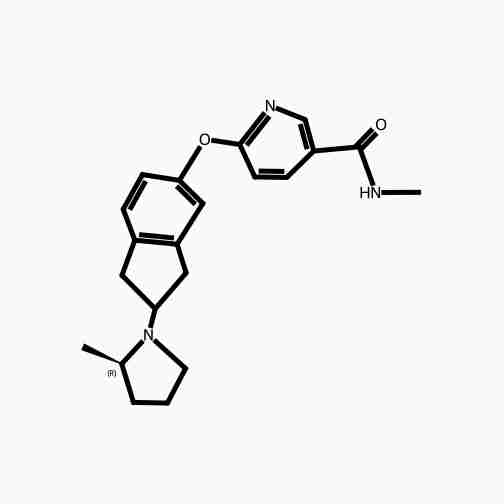 CNC(=O)c1ccc(Oc2ccc3c(c2)CC(N2CCC[C@H]2C)C3)nc1